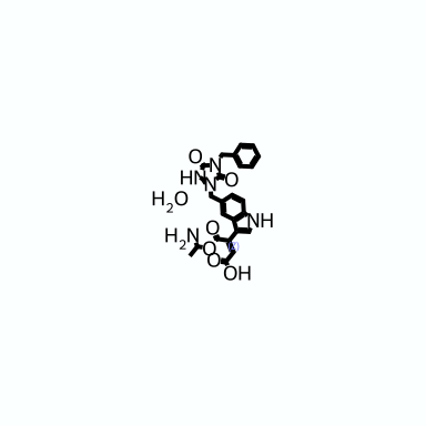 CC(N)OC(=O)/C(=C\C(=O)O)c1c[nH]c2ccc(Cn3[nH]c(=O)n(Cc4ccccc4)c3=O)cc12.O